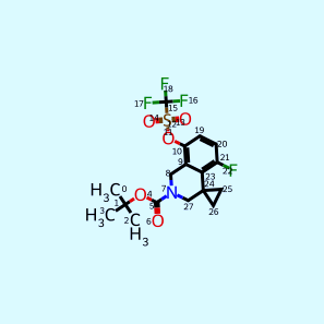 CC(C)(C)OC(=O)N1Cc2c(OS(=O)(=O)C(F)(F)F)ccc(F)c2C2(CC2)C1